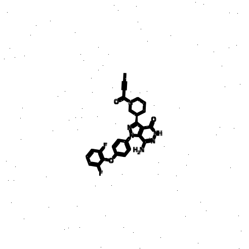 CC#CC(=O)N1CCC[C@@H](c2nn(-c3ccc(Oc4c(F)cccc4F)cc3)c3c(N)n[nH]c(=O)c23)C1